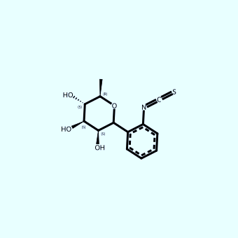 C[C@H]1OC(c2ccccc2N=C=S)[C@@H](O)[C@@H](O)[C@@H]1O